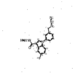 [N-]=[N+]=NCc1cccc(-n2cc(C(=O)N=[N+]=[N-])c3cc(F)ccc32)c1